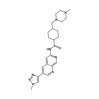 CN1CCN(CC2CCC(C(=O)Nc3cc4cc(-c5cn(C)nn5)cnc4cn3)CC2)CC1